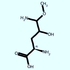 COC(N)C(O)C[C@@H](N)C(=O)O